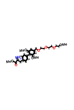 COCCOCCOCCOCc1cc(OC)c(-c2ccc(C[C@H](N)C(=O)OC)cc2)c(OC)c1